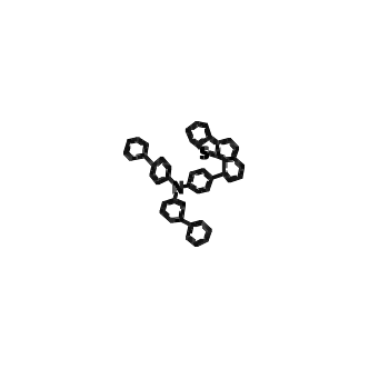 c1ccc(-c2ccc(N(c3ccc(-c4cccc5ccc6c7ccccc7sc6c45)cc3)c3cccc(-c4ccccc4)c3)cc2)cc1